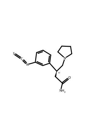 NC(=O)C[C@H](CN1CCCC1)c1cccc(N=C=S)c1